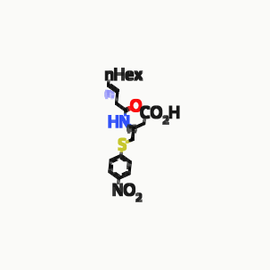 CCCCCC/C=C/CC(=O)N[C@H](CSc1ccc([N+](=O)[O-])cc1)CC(=O)O